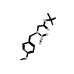 CSc1ccc(CN(CC(=O)OC(C)(C)C)[SH](=O)=O)cc1